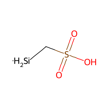 O=S(=O)(O)C[SiH2]